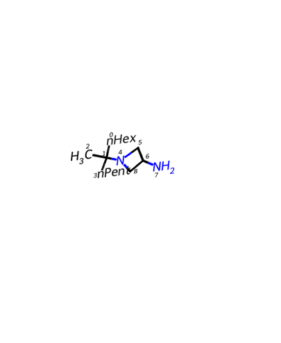 CCCCCCC(C)(CCCCC)N1CC(N)C1